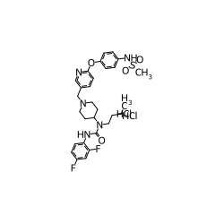 CCCCN(C(=O)Nc1ccc(F)cc1F)C1CCN(Cc2ccc(Oc3ccc(NS(C)(=O)=O)cc3)nc2)CC1.Cl.Cl